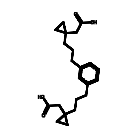 O=C(O)CC1(CCCc2cccc(CCCC3(CC(=O)O)CC3)c2)CC1